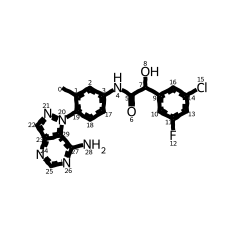 Cc1cc(NC(=O)C(O)c2cc(F)cc(Cl)c2)ccc1-n1ncc2ncnc(N)c21